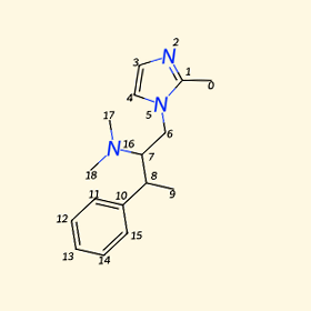 Cc1nccn1CC(C(C)c1ccccc1)N(C)C